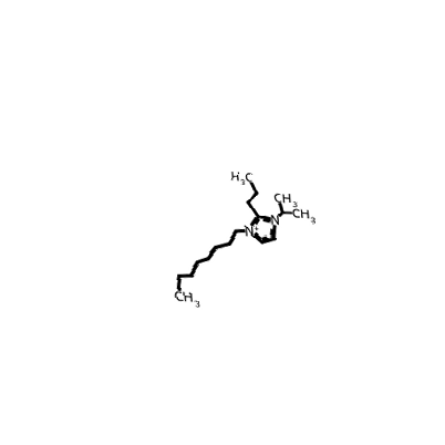 CCCCCCCC[n+]1ccn(C(C)C)c1CCC